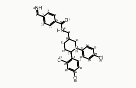 N=Cc1ccc(C(=O)NCC2CCC(c3ccc(Cl)cc3Cl)N(c3ccc(Cl)cc3)C2)cc1